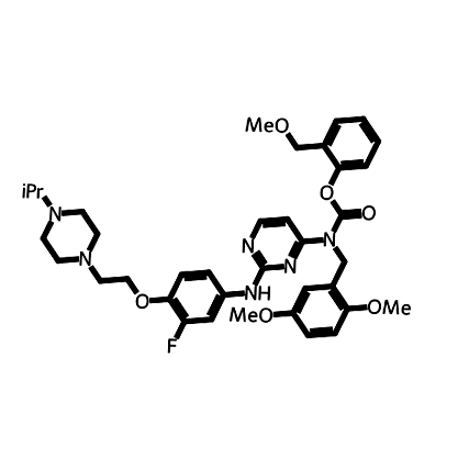 COCc1ccccc1OC(=O)N(Cc1cc(OC)ccc1OC)c1ccnc(Nc2ccc(OCCN3CCN(C(C)C)CC3)c(F)c2)n1